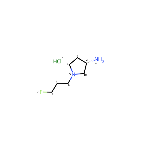 Cl.N[C@H]1CCN(CCCF)C1